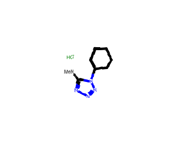 CNc1nnnn1C1CCCCC1.Cl